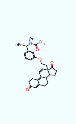 CCCC(c1cccc(OCC[C@]23C=CC4=C5CCC(=O)C=C5CCC4C2CCC3=O)c1)N(C(=O)C(F)(F)F)C(C)C